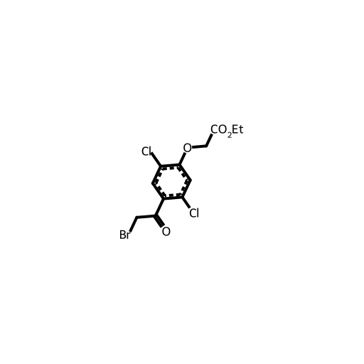 CCOC(=O)COc1cc(Cl)c(C(=O)CBr)cc1Cl